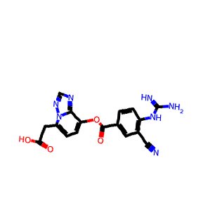 N#Cc1cc(C(=O)Oc2ccc(CC(=O)O)n3ncnc23)ccc1NC(=N)N